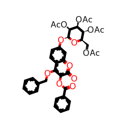 CC(=O)OC[C@H]1O[C@H](Oc2ccc3c(OCc4ccccc4)c(OC(=O)c4ccccc4)c(=O)oc3c2)[C@@H](OC(C)=O)[C@@H](OC(C)=O)[C@@H]1OC(C)=O